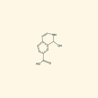 O=C(O)c1ccc2c(c1)C(O)NC=C2